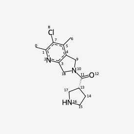 Cc1nc2c(c(C)c1Cl)CN(C(=O)[C@@H]1CCNC1)C2